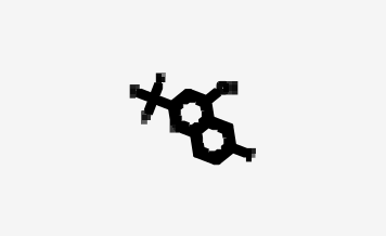 Oc1cc(C(F)(F)F)nc2ccc(F)cc12